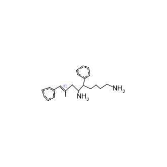 C/C(=C\c1ccccc1)CC(N)C(CCCCN)c1ccccc1